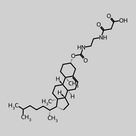 CC(C)CCC[C@@H](C)[C@H]1CC[C@H]2[C@@H]3CC=C4C[C@@H](OC(=O)NCCNC(=O)CC(=O)O)CC[C@]4(C)[C@H]3CC[C@]12C